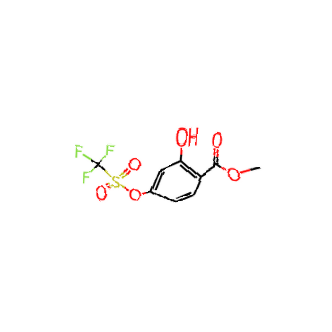 COC(=O)c1ccc(OS(=O)(=O)C(F)(F)F)cc1O